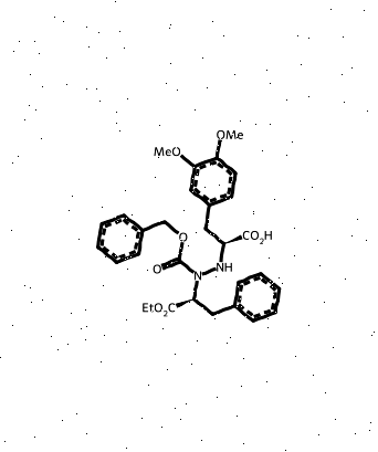 CCOC(=O)[C@H](Cc1ccccc1)N(N[C@@H](Cc1ccc(OC)c(OC)c1)C(=O)O)C(=O)OCc1ccccc1